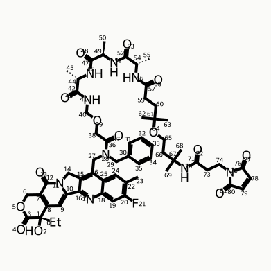 CC[C@@]1(O)C(=O)OCc2c1cc1n(c2=O)Cc2c-1nc1cc(F)c(C)cc1c2CN(Cc1ccccc1)C(=O)COCNC(=O)[C@H](C)NC(=O)[C@@H](C)NC(=O)[C@H](C)NC(=O)CCC(C)(C)OCCC(C)(C)NC(=O)CCN1C(=O)C=CC1=O